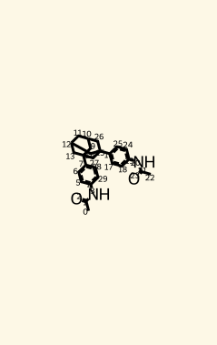 CC(=O)Nc1ccc(C23CC4CC(C2)CC(c2ccc(NC(C)=O)cc2)(C4)C3)cc1